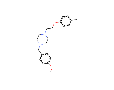 CCOc1ccc(CN2CCN(CCOc3ccc(C)cc3)CC2)cc1